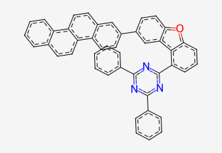 c1ccc(-c2nc(-c3ccccc3)nc(-c3cccc4oc5ccc(-c6ccc7c(ccc8c9ccccc9ccc78)c6)cc5c34)n2)cc1